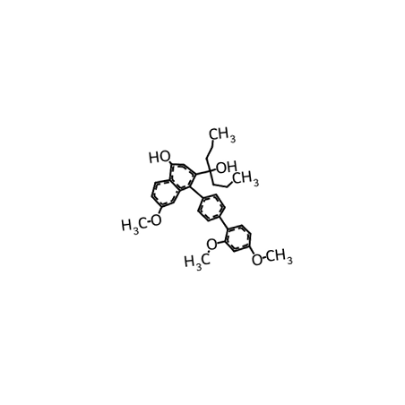 CCCC(O)(CCC)c1cc(O)c2ccc(OC)cc2c1-c1ccc(-c2ccc(OC)cc2OC)cc1